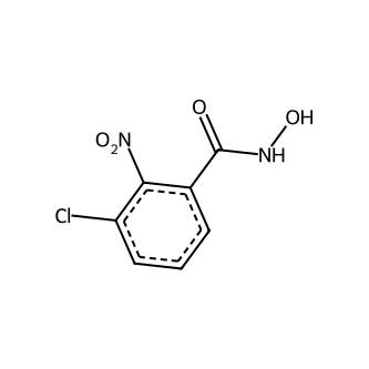 O=C(NO)c1cccc(Cl)c1[N+](=O)[O-]